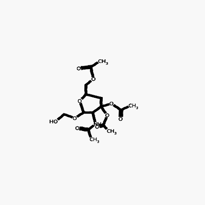 CC(=O)NC1C(OCO)OC(COC(C)=O)CC1(OC(C)=O)OC(C)=O